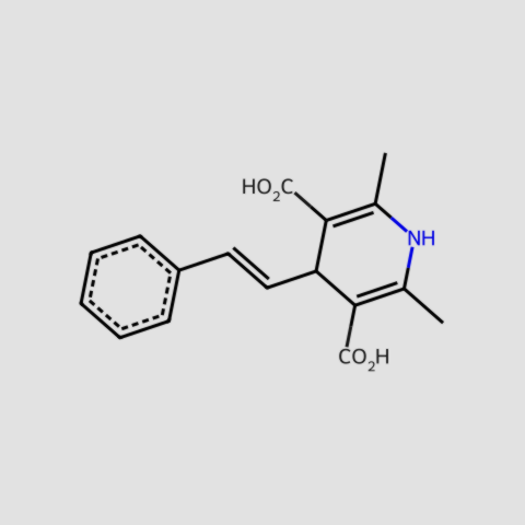 CC1=C(C(=O)O)C(C=Cc2ccccc2)C(C(=O)O)=C(C)N1